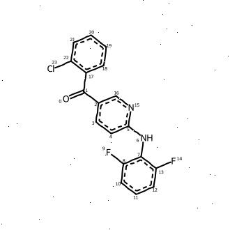 O=C(c1ccc(Nc2c(F)cccc2F)nc1)c1ccccc1Cl